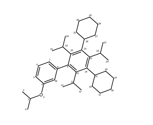 CC(C)Oc1cccc(-c2c(C(C)C)c(C3CCCCC3)c(C(C)C)c(C3CCCCC3)c2C(C)C)c1